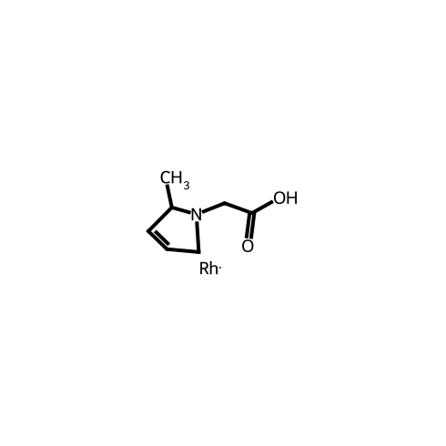 CC1C=CCN1CC(=O)O.[Rh]